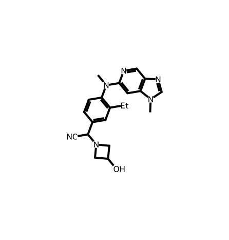 CCc1cc(C(C#N)N2CC(O)C2)ccc1N(C)c1cc2c(cn1)ncn2C